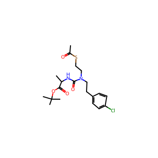 CC(=O)SCCN(CCc1ccc(Cl)cc1)C(=O)NC(C)C(=O)OC(C)(C)C